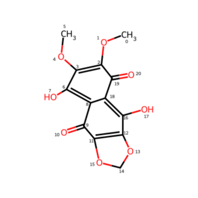 COC1=C(OC)C(O)=C2C(=O)C3=C(OCO3)C(O)=C2C1=O